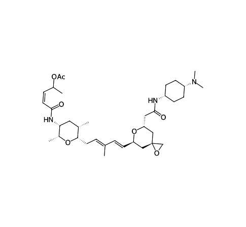 CC(=O)OC(C)/C=C\C(=O)N[C@@H]1C[C@H](C)[C@H](C/C=C(C)/C=C/[C@@H]2C[C@]3(CO3)C[C@@H](CC(=O)N[C@H]3CC[C@@H](N(C)C)CC3)O2)O[C@@H]1C